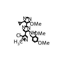 COc1ccc(CNc2nc(-c3c(OC)ncnc3C3CC3)ncc2-c2cnn(C)c2Cl)c(OC)c1